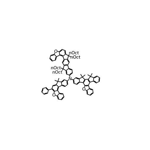 CCCCCCCCC1(CCCCCCCC)c2cc(N(c3ccc4c(c3)C(C)(C)c3cc(-c5ccccc5)c5oc6ccccc6c5c3-4)c3ccc4c(c3)C(C)(C)c3c5c(c6c(oc7ccccc76)c3-4)-c3ccccc3C5(C)C)ccc2-c2cc3c(cc21)-c1c(ccc2oc4ccccc4c12)C3(CCCCCCCC)CCCCCCCC